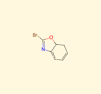 BrC1=NC2=CC=CCC2O1